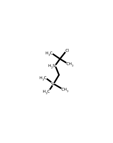 CC(C)(Cl)[SiH2]C[Si](C)(C)C